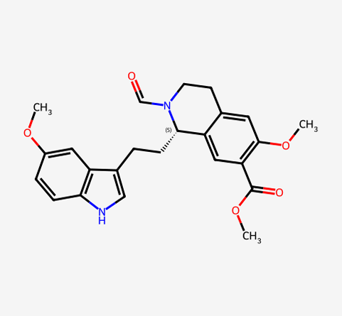 COC(=O)c1cc2c(cc1OC)CCN(C=O)[C@H]2CCc1c[nH]c2ccc(OC)cc12